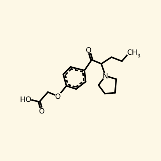 CCCC(C(=O)c1ccc(OCC(=O)O)cc1)N1CCCC1